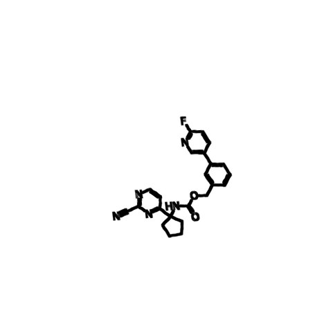 N#Cc1nccc(C2(NC(=O)OCc3cccc(-c4ccc(F)nc4)c3)CCCC2)n1